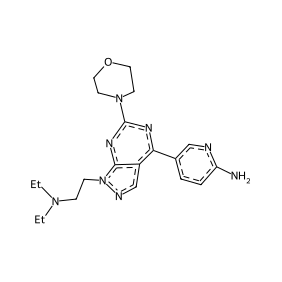 CCN(CC)CCn1ncc2c(-c3ccc(N)nc3)nc(N3CCOCC3)nc21